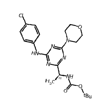 C[C@H](NC(=O)OC(C)(C)C)c1nc(Nc2ccc(Cl)cc2)nc(N2CCOCC2)n1